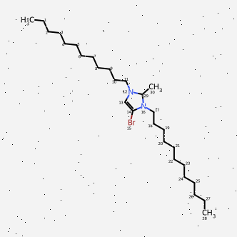 CCCCCCCCCCCCN1C=C(Br)N(CCCCCCCCCCCC)C1C